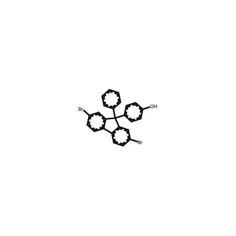 Oc1ccc(C2(c3ccccc3)c3cc(Br)ccc3-c3ccc(Br)cc32)cc1